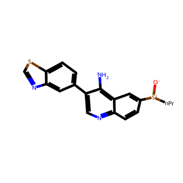 CCC[S+]([O-])c1ccc2ncc(-c3ccc4scnc4c3)c(N)c2c1